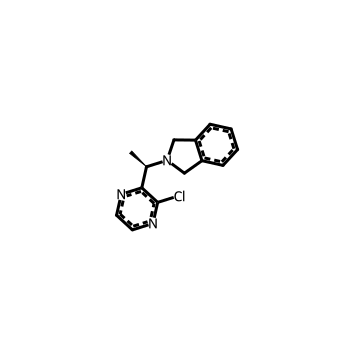 C[C@H](c1nccnc1Cl)N1Cc2ccccc2C1